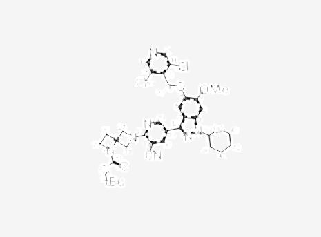 COc1cc2c(cc1O[C@H](C)c1c(Cl)cncc1Cl)c(-c1cnc(N3CC4(CCN4C(=O)OC(C)(C)C)C3)c(C#N)c1)nn2C1CCCCO1